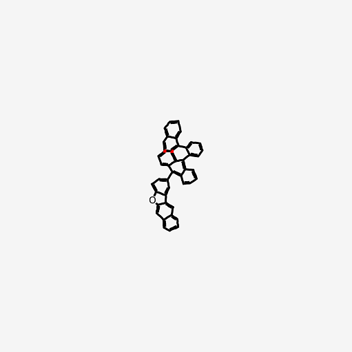 c1ccc(-c2c3ccccc3c(-c3ccc4oc5cc6ccccc6cc5c4c3)c3ccccc23)c(-c2cccc3ccccc23)c1